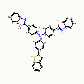 c1ccc2c(c1)CC(c1ccc(N(c3ccc(-c4nc5ccccc5o4)cc3)c3ccc(-c4nc5ccccc5o4)cc3)cc1)S2